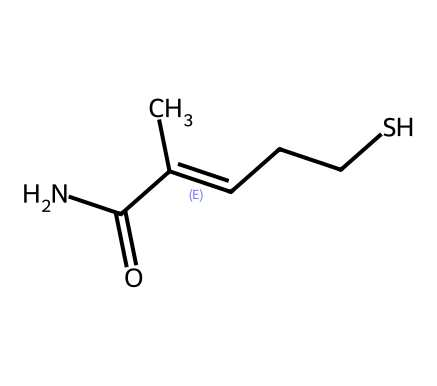 C/C(=C\CCS)C(N)=O